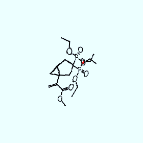 C=C(C(=O)OC)C12CC1CC(P(=O)(OCC)OCC)(P(=O)(OCC)OCC)C2